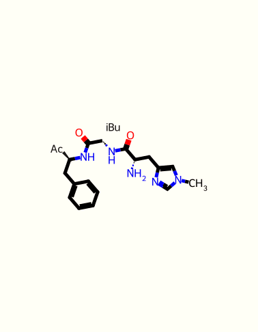 CC[C@H](C)[C@H](NC(=O)[C@@H](N)Cc1cn(C)cn1)C(=O)N[C@@H](Cc1ccccc1)C(C)=O